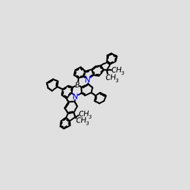 CC1(C)C2=C(C=C3c4cc(C5=CC=CCC5)cc5c4N(C4=CC(C6=CCCC=C6)CC6=C4B5c4cccc5c7cc8c(cc7n6c45)C(C)(C)c4ccccc4-8)C3C2)c2ccccc21